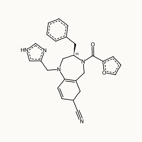 N#CC1C=CC2=C(C1)CN(C(=O)c1ccco1)[C@H](Cc1ccccc1)CN2Cc1c[nH]cn1